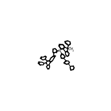 CC1(c2ccccc2)c2ccccc2-c2c(N(c3ccc(-c4ccc(-c5ccccc5)cc4)cc3)c3cccc(-c4ccc5c(c4)c(-c4ccccc4)c(-c4ccccc4)c4ccccc45)c3)cccc21